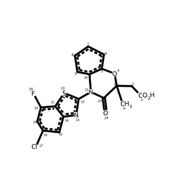 CC1(CC(=O)O)Oc2ccccc2N(c2nc3cc(Cl)cc(F)c3s2)C1=O